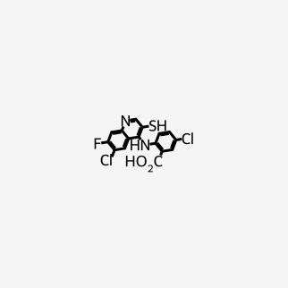 O=C(O)c1cc(Cl)ccc1Nc1c(S)cnc2cc(F)c(Cl)cc12